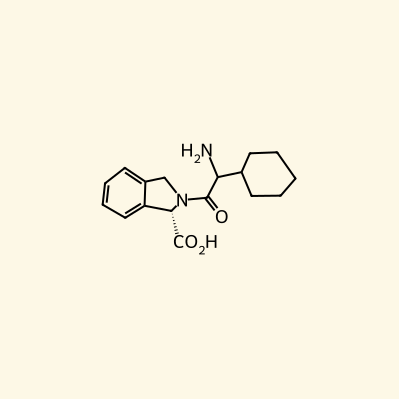 NC(C(=O)N1Cc2ccccc2[C@H]1C(=O)O)C1CCCCC1